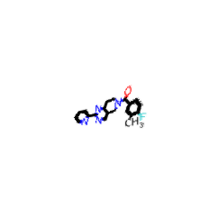 Cc1cc(C(=O)N2CCc3nc(-c4ccccn4)ncc3C2)ccc1F